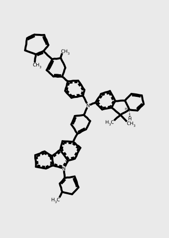 CC1=C(C2=CC=C(c3ccc(N(c4ccc5c(c4)C(C)(C)[C@@H]4C=CC=CC54)C4C=CC(c5ccc6c(c5)c5ccccc5n6C5=CC(C)CC=C5)=CC4)cc3)CC2C)C=CC=CC1